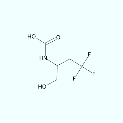 O=C(O)NC(CO)CC(F)(F)F